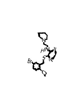 COc1ccc(Br)cc1CSc1nccnc1NCCN1CCCCC1